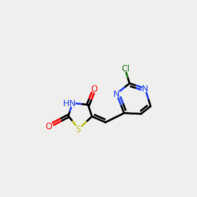 O=C1NC(=O)/C(=C\c2ccnc(Cl)n2)S1